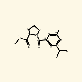 COC(=O)C1CCCN1C(=O)c1cc(F)cc(C(C)C)c1